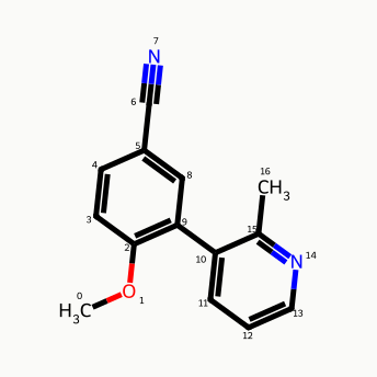 COc1ccc(C#N)cc1-c1cccnc1C